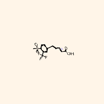 CS(=O)(=O)c1ccc(CC/C=C/C(=O)O)cc1C(F)(F)F